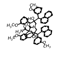 COc1cccc(CC(O)(CN(CC(O)(Cc2cccc(OC)c2)C(c2cccc(OC)c2)c2cccc3ccccc23)C(=O)C2(C(N)=O)CCCCC2)C(c2cccc(OC)c2)c2cccc3ccccc23)c1